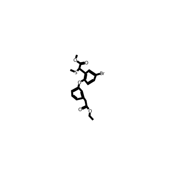 CCOC(=O)Cc1cccc(Oc2ccc(Br)cc2C(SC)C(=O)OC)c1